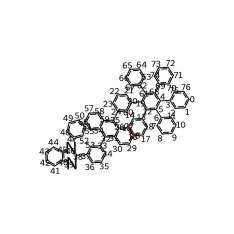 c1ccc(-c2c(-c3ccccc3)c(-c3ccccc3)c(-c3cccc(-c4c5ccccc5c(-c5cccc(-c6nc7ccccc7n6-c6ccccc6)c5)c5ccccc45)c3)c(-c3ccccc3)c2-c2ccccc2)cc1